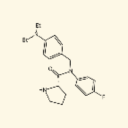 CCN(CC)c1ccc(CN(C(=O)[C@@H]2CCCN2)c2ccc(F)cc2)cc1